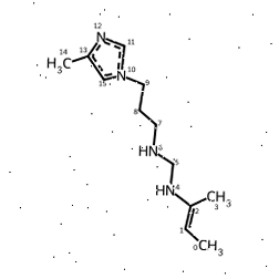 C/C=C(\C)NCNCCCn1cnc(C)c1